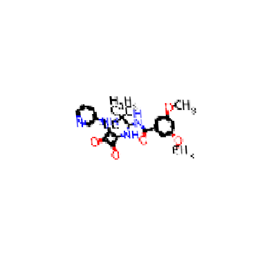 COc1cc(OC)cc(C(=O)NC(Nc2c(Nc3cccnc3)c(=O)c2=O)C(C)(C)C)c1